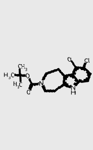 CC(C)(C)OC(=O)N1CCc2[nH]c3ccc(Cl)c(Cl)c3c2CC1